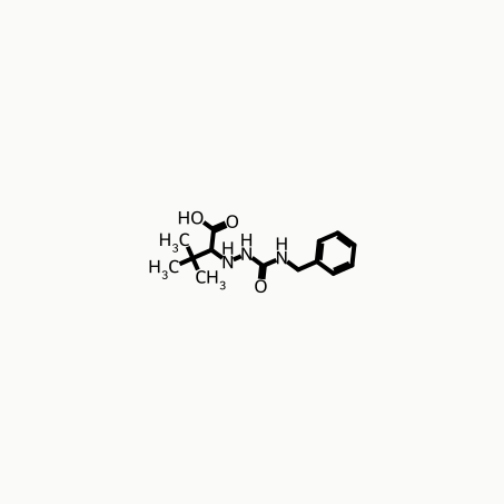 CC(C)(C)C(NNC(=O)NCc1ccccc1)C(=O)O